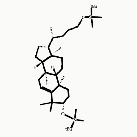 C[C@H](CCCO[Si](C)(C)C(C)(C)C)[C@H]1CC[C@H]2[C@@H]3CC=C4C(C)(C)[C@@H](O[Si](C)(C)C(C)(C)C)CC[C@]4(C)[C@H]3CC[C@]12C